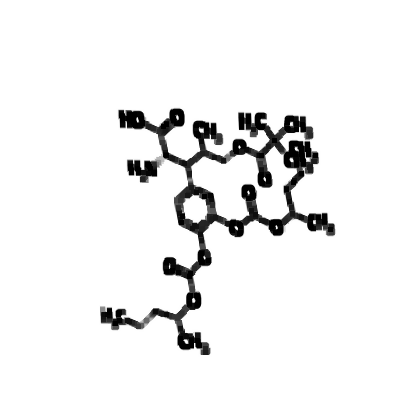 CCCC(C)OC(=O)Oc1ccc(C(C(C)COC(=O)C(C)(C)C)[C@H](N)C(=O)O)cc1OC(=O)OC(C)CCC